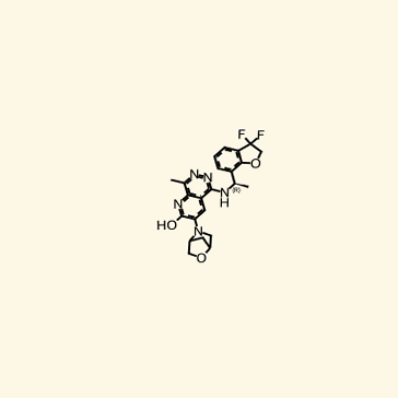 Cc1nnc(N[C@H](C)c2cccc3c2OCC3(F)F)c2cc(N3CC4CC3CO4)c(O)nc12